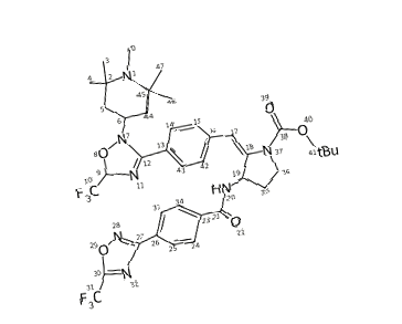 CN1C(C)(C)CC(N2OC(C(F)(F)F)N=C2c2ccc(C=C3C(NC(=O)c4ccc(-c5noc(C(F)(F)F)n5)cc4)CCN3C(=O)OC(C)(C)C)cc2)CC1(C)C